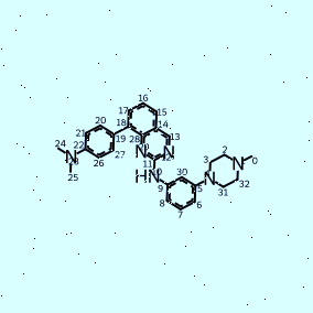 CN1CCN(c2cccc(Nc3ncc4cccc(-c5ccc(N(C)C)cc5)c4n3)c2)CC1